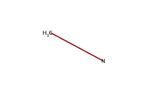 CC#CC#CC#CC#CC#CC#CC#CC#CC#CC#CC#CC#CC#CC#CC#CC#CC#CC#CC#CC#CC#CC#CC#CC#CC#CC#CC#CC#CC#CC#CC#CC#CC#CC#CC#CC#CC#CC#CC#CC#CC#CC#CC#CC#CC#N